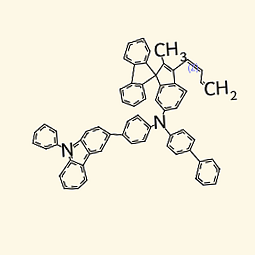 C=C/C=C\C1=C(C)C2(c3cc(N(c4ccc(-c5ccccc5)cc4)c4ccc(-c5ccc6c(c5)c5ccccc5n6-c5ccccc5)cc4)ccc31)c1ccccc1-c1ccccc12